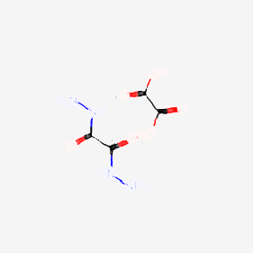 NNC(=O)C(=O)NN.O=C(O)C(=O)O